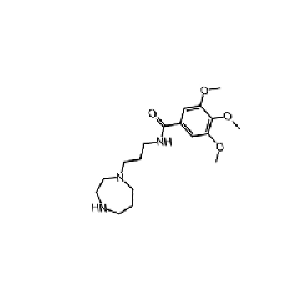 COc1cc(C(=O)NCCCN2CCCNCC2)cc(OC)c1OC